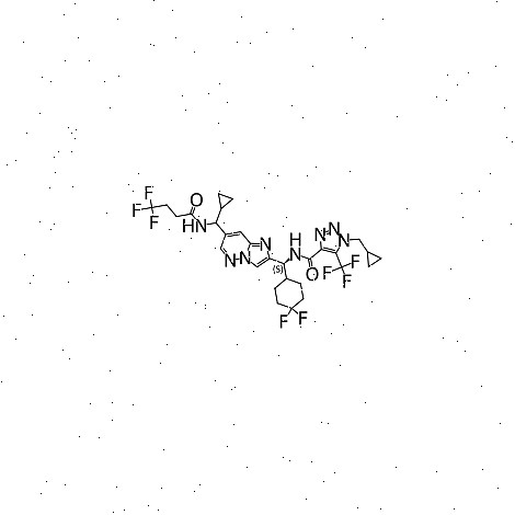 O=C(CCC(F)(F)F)NC(c1cnn2cc([C@@H](NC(=O)c3nnn(CC4CC4)c3C(F)(F)F)C3CCC(F)(F)CC3)nc2c1)C1CC1